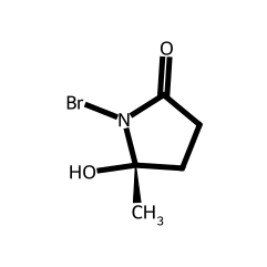 C[C@]1(O)CCC(=O)N1Br